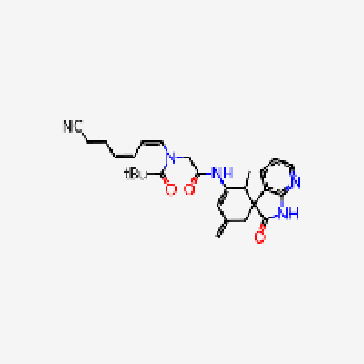 C=C1C=C(NC(=O)CN(/C=C\C=C/CCC#N)C(=O)C(C)(C)C)C(C)C2(C1)C(=O)Nc1ncccc12